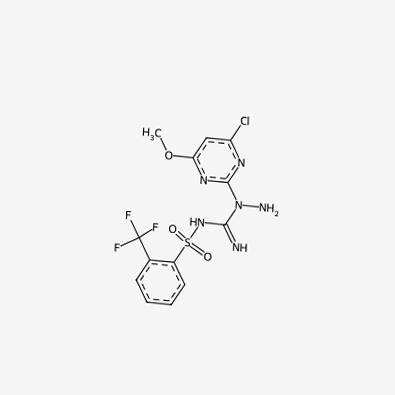 COc1cc(Cl)nc(N(N)C(=N)NS(=O)(=O)c2ccccc2C(F)(F)F)n1